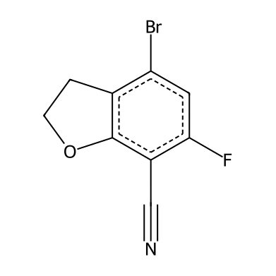 N#Cc1c(F)cc(Br)c2c1OCC2